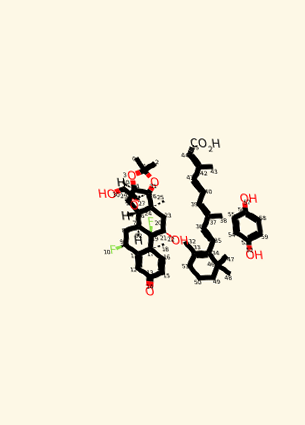 CC1(C)O[C@@H]2C[C@H]3[C@@H]4C[C@H](F)C5=CC(=O)C=C[C@]5(C)[C@@]4(F)[C@@H](O)C[C@]3(C)[C@]2(C(=O)CO)O1.CC1=C(/C=C/C(C)=C/C=C/C(C)=C/C(=O)O)C(C)(C)CCC1.Oc1ccc(O)cc1